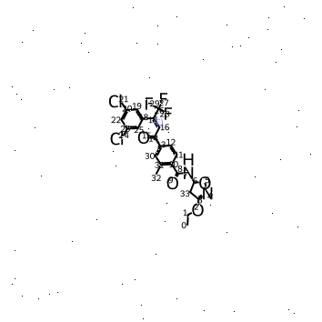 CCOC1=NOC(NC(=O)c2ccc(C(=O)/C=C(\c3cc(Cl)cc(Cl)c3)C(F)(F)F)cc2C)C1